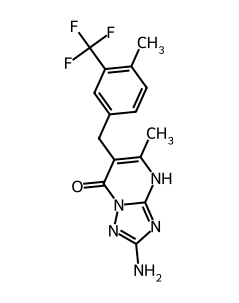 Cc1ccc(Cc2c(C)[nH]c3nc(N)nn3c2=O)cc1C(F)(F)F